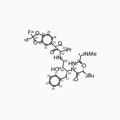 CC[C@H](C)CC(=O)N(NC(=O)CNC)[C@@H](Cc1ccccc1)[C@H](O)CNC(C(C)C)S(=O)(=O)c1ccc2c(c1)OC(F)(F)O2